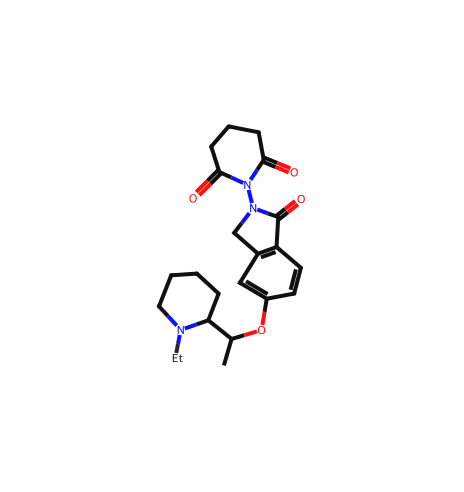 CCN1CCCCC1C(C)Oc1ccc2c(c1)CN(N1C(=O)CCCC1=O)C2=O